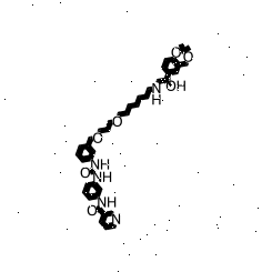 CC1(C)OCc2cc([C@@H](O)CNCCCCCCCOCCCOCc3cccc(NC(=O)Nc4cccc(NC(=O)c5cccnc5)c4)c3)ccc2O1